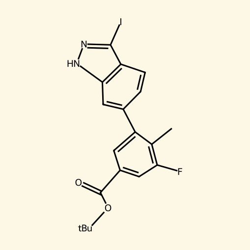 Cc1c(F)cc(C(=O)OC(C)(C)C)cc1-c1ccc2c(I)n[nH]c2c1